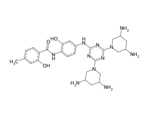 Cc1ccc(C(=O)Nc2ccc(Nc3nc(N4CC(N)CC(N)C4)nc(N4CC(N)CC(N)C4)n3)cc2O)c(O)c1